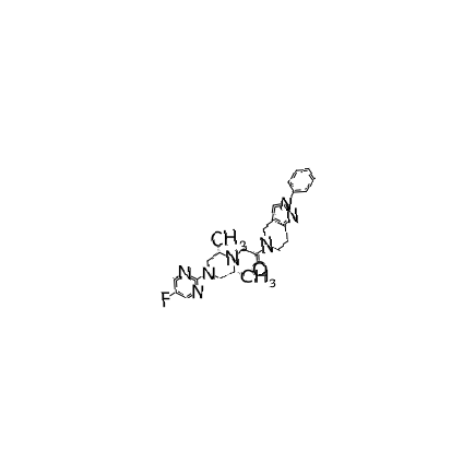 C[C@@H]1CN(c2ncc(F)cn2)C[C@H](C)N1CC(=O)N1CCc2nn(-c3ccccc3)cc2C1